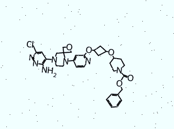 Nc1nnc(Cl)cc1N1CCN(c2ccnc(OC3CC(OC4CCN(C(=O)OCc5ccccc5)CC4)C3)c2)C2(COC2)C1